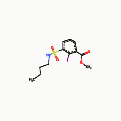 CCCCNS(=O)(=O)c1cccc(C(=O)OC)c1I